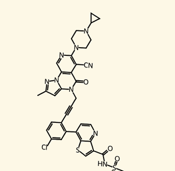 Cc1cc2n(CC#Cc3ccc(Cl)cc3-c3ccnc4c(C(=O)NS(C)(=O)=O)csc34)c(=O)c3c(C#N)c(N4CCN(C5CC5)CC4)ncc3n2n1